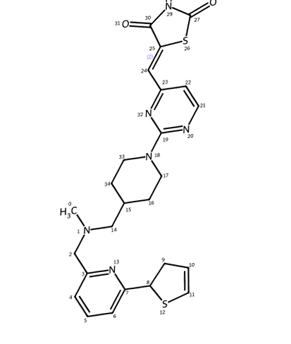 CN(Cc1cccc(C2CC=CS2)n1)CC1CCN(c2nccc(/C=C3\SC(=O)NC3=O)n2)CC1